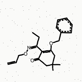 C=CCO/N=C(/CC)C1=C(OCc2ccccc2)CC(C)(C)CC1=O